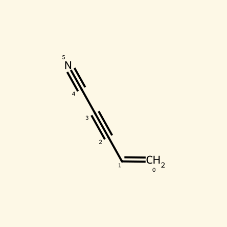 C=CC#CC#N